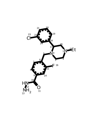 CCN1CCN(Cc2ccc(C(=O)NN)cc2F)C(c2cccc(Cl)c2)C1